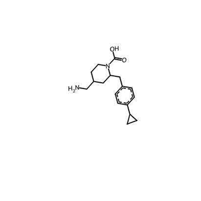 NCC1CCN(C(=O)O)C(Cc2ccc(C3CC3)cc2)C1